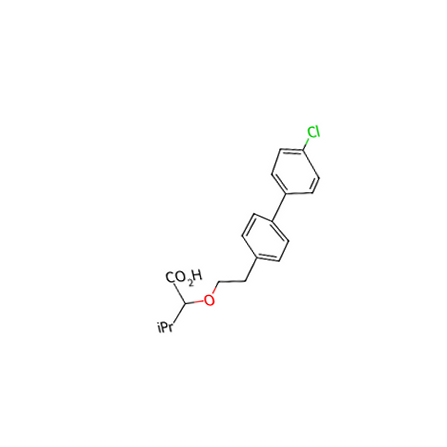 CC(C)C(OCCc1ccc(-c2ccc(Cl)cc2)cc1)C(=O)O